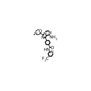 CN1CCO[C@@H](c2nc(-c3ccc(C(=O)Nc4cc(C(F)(F)F)ccn4)cc3)c3c(N)nccn23)C1